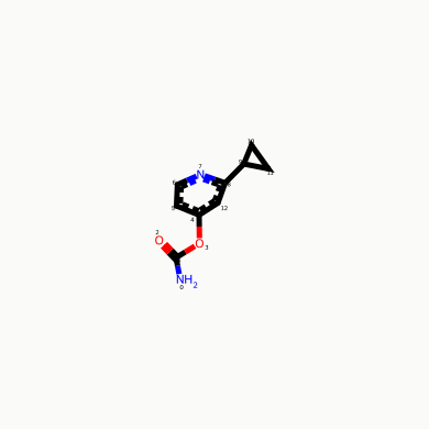 NC(=O)Oc1ccnc(C2CC2)c1